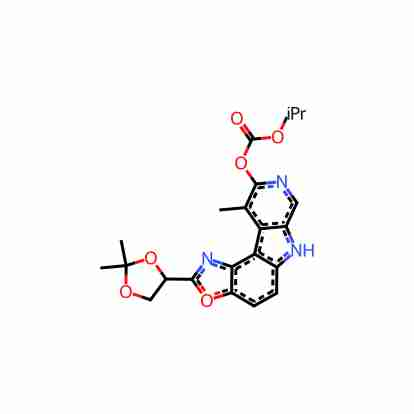 Cc1c(OC(=O)OC(C)C)ncc2[nH]c3ccc4oc(C5COC(C)(C)O5)nc4c3c12